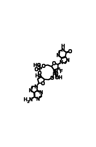 Nc1ncnc2c1ncn2C1C[C@@H]2OP(=O)(O)OCC3OC(n4cnc5c(=O)[nH]cnc54)[C@H](F)[C@@H]3P(=O)(O)OCC2O1